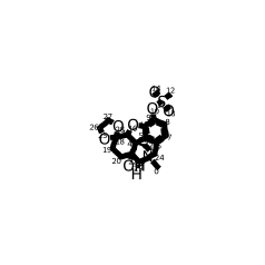 CN1CC[C@]23c4c5ccc(OS(C)(=O)=O)c4OC2C2(CCC3(O)[C@H]1C5)OCCO2